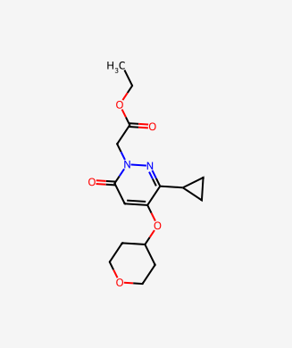 CCOC(=O)Cn1nc(C2CC2)c(OC2CCOCC2)cc1=O